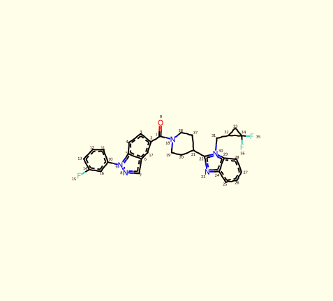 O=C(c1ccc2c(cnn2-c2cccc(F)c2)c1)N1CCC(c2nc3ccccc3n2CC2CC2(F)F)CC1